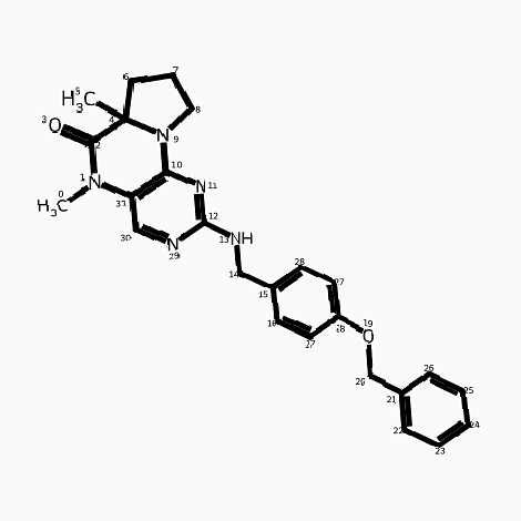 CN1C(=O)C2(C)CCCN2c2nc(NCc3ccc(OCc4ccccc4)cc3)ncc21